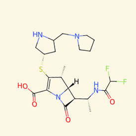 C[C@@H](NC(=O)C(F)F)[C@H]1C(=O)N2C(C(=O)O)=C(S[C@@H]3CNC(CN4CCCC4)C3)[C@H](C)[C@H]12